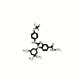 CNC(=O)c1ccc2c(c1)nc(Nc1ccc(OC(F)(F)F)cc1)n2C1CC(C)CC(C)(C)C1